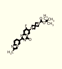 Cc1cn2cc(-c3nc(=O)n4cc(N5CC6(CN(C(=O)OC(C)(C)C)C6)C5)c(F)cc4n3)ccc2n1